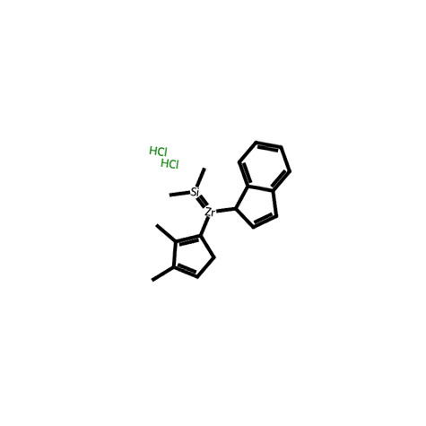 CC1=CC[C]([Zr]([CH]2C=Cc3ccccc32)=[Si](C)C)=C1C.Cl.Cl